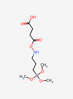 CO[Si](CCCNOC(=O)CCC(=O)O)(OC)OC